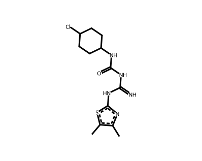 Cc1nc(NC(=N)NC(=O)NC2CCC(Cl)CC2)sc1C